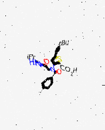 CC(C)NC(=O)CN(c1cc(C#CC(C)(C)C)sc1C(=O)O)C(=O)[C@H]1CC[C@H](C)CC1